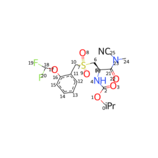 CC(C)OC(=O)N[C@@H](CS(=O)(=O)Cc1ccccc1OC(F)F)C(=O)N(C)C#N